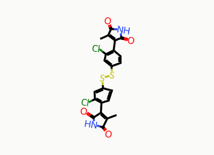 CC1=C(c2ccc(SSc3ccc(C4=C(C)C(=O)NC4=O)c(Cl)c3)cc2Cl)C(=O)NC1=O